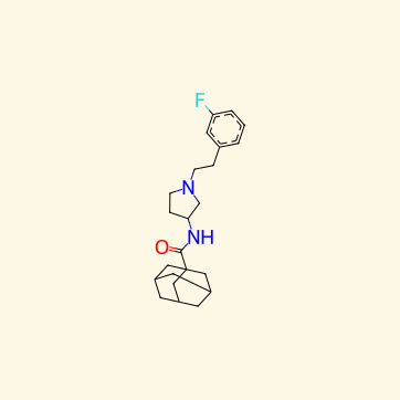 O=C(NC1CCN(CCc2cccc(F)c2)C1)C12CC3CC(CC(C3)C1)C2